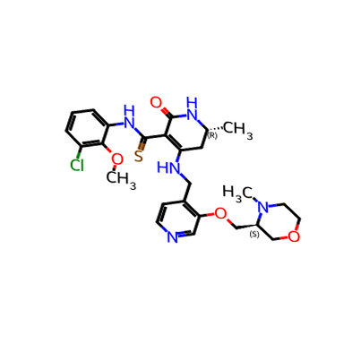 COc1c(Cl)cccc1NC(=S)C1=C(NCc2ccncc2OC[C@@H]2COCCN2C)C[C@@H](C)NC1=O